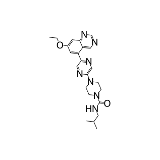 CCOc1cc(-c2cnc(N3CCN(C(=O)NCC(C)C)CC3)cn2)c2cncnc2c1